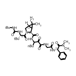 CCCCC(NC(=O)[C@@H]1C2[C@H](CN1C(=O)[C@@H](NC(=O)NC(C)CC)C(C)(C)C)C2(C)C)C(=O)C(=O)NCC(=O)N[C@H](C(=O)N(C)C)c1ccccc1